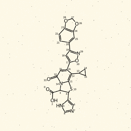 O=C(O)C1C(c2cnc[nH]2)Sc2c(C3CC3)c(-c3cc(-c4ccc5c(c4)OCO5)no3)cc(=O)n21